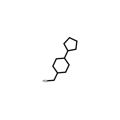 SCC1CCC(C2CCCC2)CC1